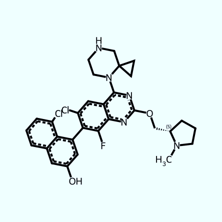 CN1CCC[C@H]1COc1nc(N2CCNCC23CC3)c2cc(Cl)c(-c3cc(O)cc4cccc(Cl)c34)c(F)c2n1